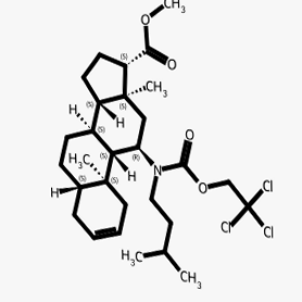 COC(=O)[C@H]1CC[C@H]2[C@@H]3CC[C@H]4CC=CC[C@]4(C)[C@H]3[C@H](N(CCC(C)C)C(=O)OCC(Cl)(Cl)Cl)C[C@]12C